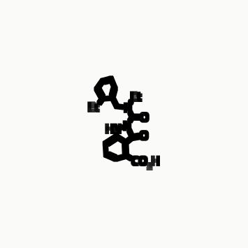 CCc1ccccc1CN(CC)C(=O)n1[nH]c2cccc(C(=O)O)c2c1=O